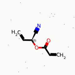 C=CC(=O)O[C@H](C#N)C=C